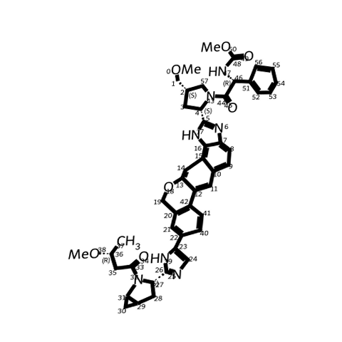 COC[C@H]1C[C@@H](c2nc3ccc4cc5c(cc4c3[nH]2)OCc2cc(-c3cnc([C@@H]4CC6CC6N4C(=O)C[C@@H](C)OC)[nH]3)ccc2-5)N(C(=O)[C@H](NC(=O)OC)c2ccccc2)C1